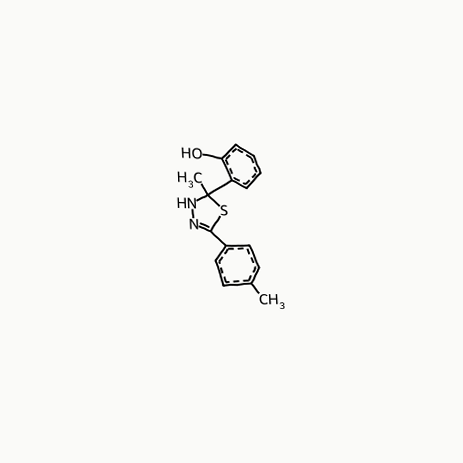 Cc1ccc(C2=NNC(C)(c3ccccc3O)S2)cc1